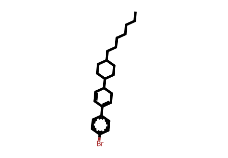 CCCCCCCC1CCC(C2C=CC(c3ccc(Br)cc3)=CC2)CC1